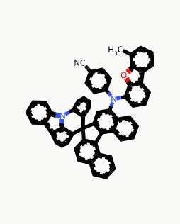 Cc1cccc2c1oc1c(N(c3ccc(C#N)cc3)c3cc4c(c5ccccc35)-c3c(ccc5ccccc35)C43c4ccccc4-n4c5ccccc5c5cccc3c54)cccc12